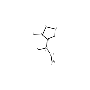 CCCON(C)C1CCCC1C